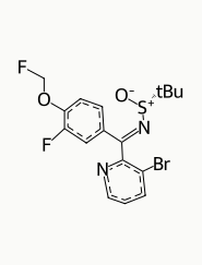 CC(C)(C)[S@@+]([O-])/N=C(\c1ccc(OCF)c(F)c1)c1ncccc1Br